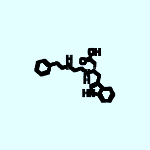 O=C(O)C[C@H](Cc1c[nH]c2ccccc12)NCCNCCc1ccccc1